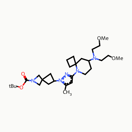 COCCN(CCOC)C1CCN(c2cc(C)n(C3CC4(C3)CN(C(=O)OC(C)(C)C)C4)n2)C2(CCC2)C1